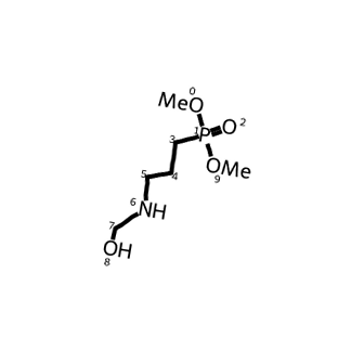 COP(=O)(CCCNCO)OC